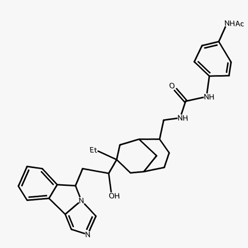 CCC1(C(O)CC2c3ccccc3-c3cncn32)CC2CCC(CNC(=O)Nc3ccc(NC(C)=O)cc3)C(C2)C1